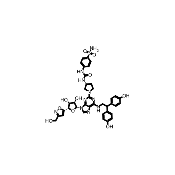 NS(=O)(=O)c1ccc(NC(=O)N[C@@H]2CCN(c3nc(NCC(c4ccc(O)cc4)c4ccc(O)cc4)c4ncn([C@@H]5O[C@H](c6cc(CO)no6)[C@@H](O)[C@H]5O)c4n3)C2)cc1